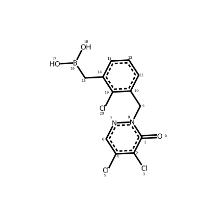 O=c1c(Cl)c(Cl)cnn1Cc1cccc(CB(O)O)c1Cl